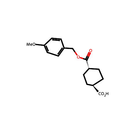 COc1ccc(COC(=O)[C@H]2CC[C@H](C(=O)O)CC2)cc1